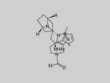 CCC(=O)N1CCc2c(nc(C)n2[C@H]2C[C@H]3CC[C@@H](C2)N3CC[C@H](NC(C)=O)c2nccs2)C1